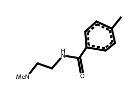 CNCCNC(=O)c1ccc(C)cc1